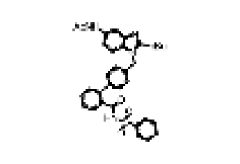 CCCCc1nc2cc(NC(C)=O)ccc2n1Cc1ccc(-c2ccccc2C(=O)NS(=O)(=O)c2ccccc2)cc1